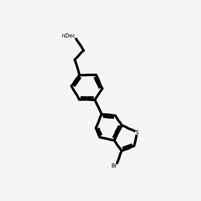 CCCCCCCCCCCCc1ccc(-c2ccc3c(Br)csc3c2)cc1